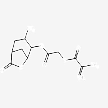 C=C(C)C(=O)OCC(=O)OC1C(C)CC2CC1OC2=O